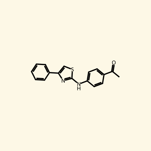 CC(=O)c1ccc(Nc2nc(-c3ccccc3)cs2)cc1